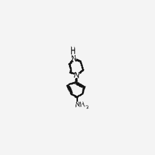 NC1C=CC(N2CCNCC2)=CC1